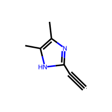 [C]#Cc1nc(C)c(C)[nH]1